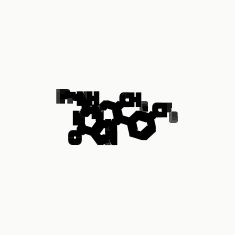 CC1=C(c2cccc(C(F)(F)F)c2)n2ncc3c(=O)nc(NC(C)C)n(c32)C1